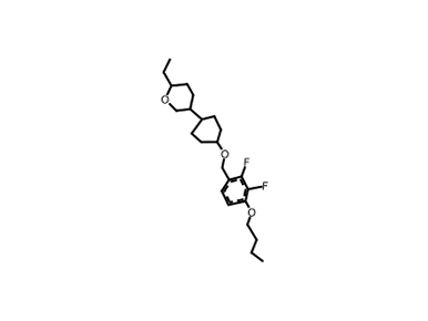 CCCCOc1ccc(COC2CCC(C3CCC(CC)OC3)CC2)c(F)c1F